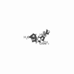 COC(=O)N1[C@H](C)C[C@H](NS(=O)(=O)C2COC2)[C@@H]1CO[C@H]1CC[C@]2(c3ncc(F)cn3)C(C1)[C@@H]2C